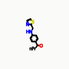 CCCC(=O)c1ccc(NCc2nccs2)cc1